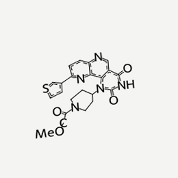 COCC(=O)N1CCC(n2c(=O)[nH]c(=O)c3cnc4ccc(-c5ccsc5)nc4c32)CC1